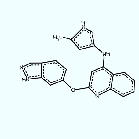 Cc1cc(Nc2cc(Oc3ccc4cn[nH]c4c3)nc3ccccc23)n[nH]1